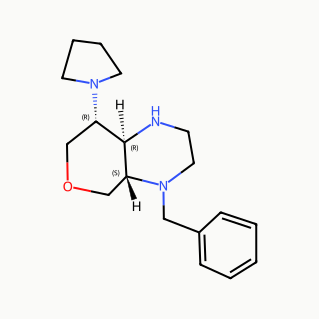 c1ccc(CN2CCN[C@H]3[C@H]2COC[C@@H]3N2CCCC2)cc1